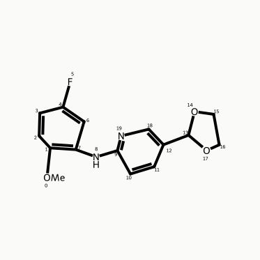 COc1ccc(F)cc1Nc1ccc(C2OCCO2)cn1